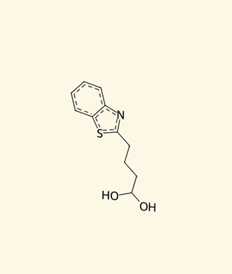 OC(O)CCCc1nc2ccccc2s1